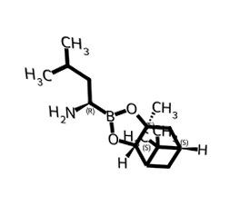 CC(C)C[C@H](N)B1O[C@H]2C3C[C@@H](C[C@]2(C)O1)C3(C)C